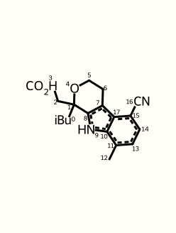 CCC(C)C1(CC(=O)O)OCCc2c1[nH]c1c(C)ccc(C#N)c21